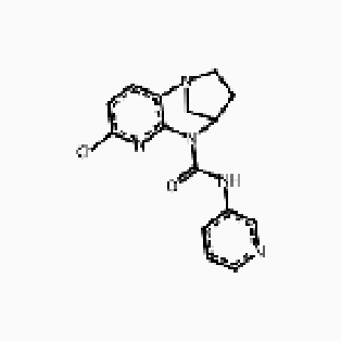 O=C(Nc1cccnc1)N1c2nc(Cl)ccc2N2CCC1C2